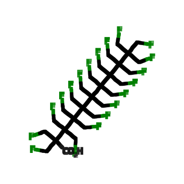 O=C(O)C(CF)(CF)C(CF)(CF)C(CF)(CF)C(CF)(CF)C(CF)(CF)C(CF)(CF)C(CF)(CF)C(CF)(CF)C(CF)(CF)CF